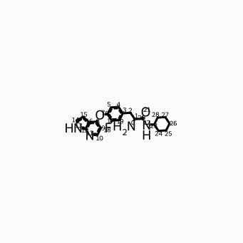 NC(Cc1ccc(Oc2ccnc3[nH]ccc23)c(F)c1)C(=O)NC1CCCCC1